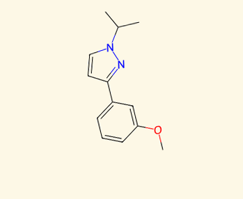 COc1cccc(-c2ccn(C(C)C)n2)c1